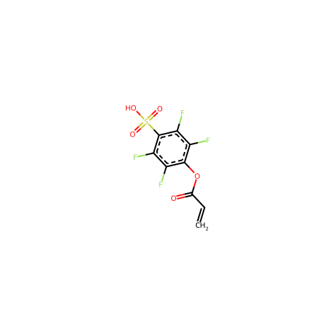 C=CC(=O)Oc1c(F)c(F)c(S(=O)(=O)O)c(F)c1F